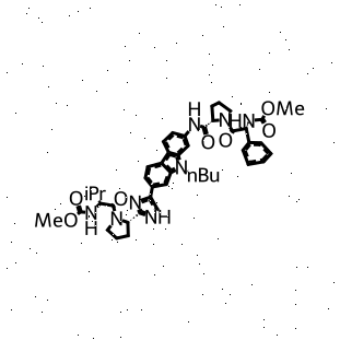 CCCCn1c2cc(NC(=O)[C@@H]3CCCN3C(=O)[C@H](NC(=O)OC)c3ccccc3)ccc2c2ccc(-c3c[nH]c([C@@H]4CCCN4C(=O)[C@@H](NC(=O)OC)C(C)C)n3)cc21